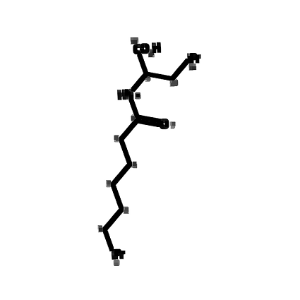 CC(C)CCCCCC(=O)NC(CC(C)C)C(=O)O